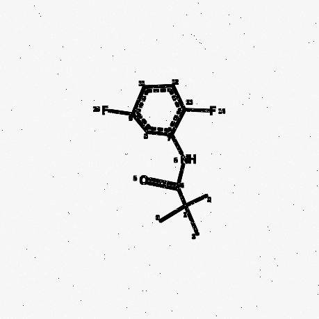 CC(C)(C)C(=O)Nc1cc(F)ccc1F